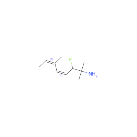 C/C=C(C)\C=C/C(F)C(C)(C)N